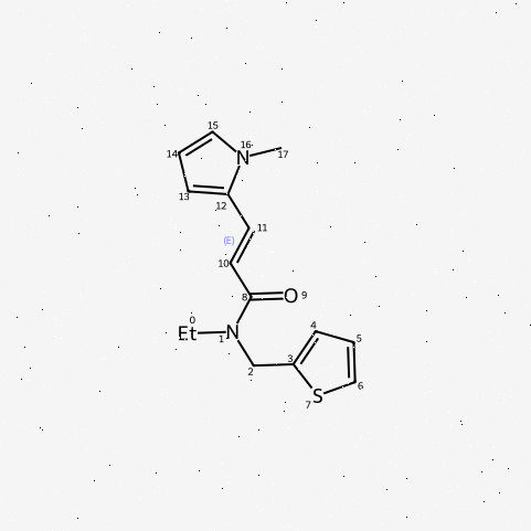 CCN(Cc1cccs1)C(=O)/C=C/c1cccn1C